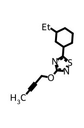 CC#CCOc1nsc(C2CCCC(CC)C2)n1